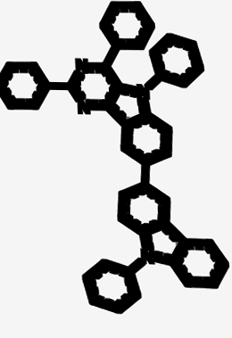 c1ccc(-c2nc(-c3ccccc3)c3c(n2)c2cc(-c4ccc5c(c4)c4ccccc4n5-c4ccccc4)ccc2n3-c2ccccc2)cc1